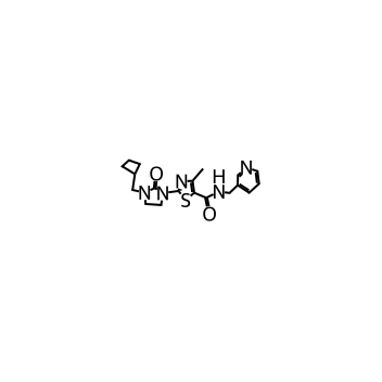 Cc1nc(N2CCN(CC3CCC3)C2=O)sc1C(=O)NCc1cccnc1